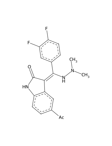 CC(=O)c1ccc2c(c1)C(=C(NN(C)C)c1ccc(F)c(F)c1)C(=O)N2